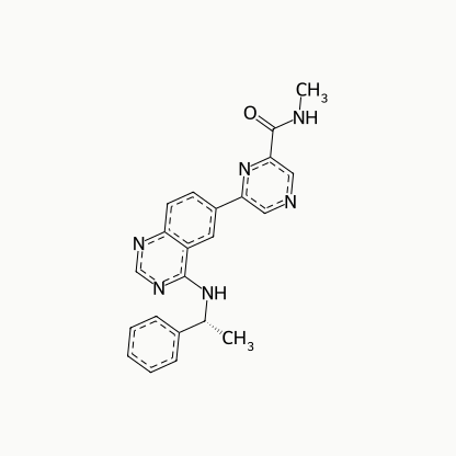 CNC(=O)c1cncc(-c2ccc3ncnc(N[C@H](C)c4ccccc4)c3c2)n1